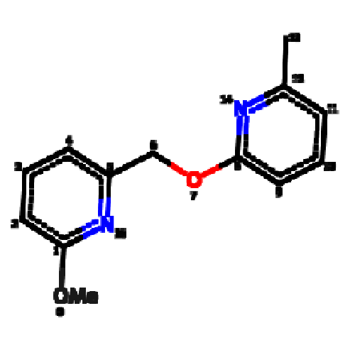 COc1cccc(COc2cccc(C)n2)n1